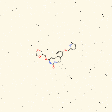 O=c1nc(OCC2COCCO2)cc2n1CCc1cc(OCc3ccccn3)ccc1-2